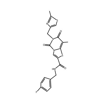 Cc1nc(Cn2c(=O)c(C)c3sc(C(=O)NCc4ccc(F)cc4)cn3c2=O)cs1